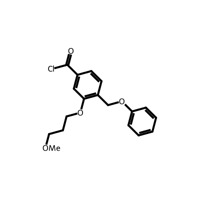 COCCCOc1cc(C(=O)Cl)ccc1COc1ccccc1